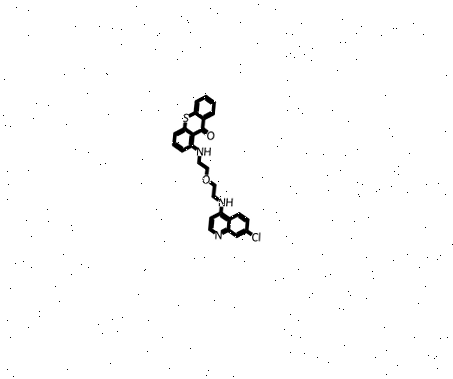 O=c1c2ccccc2sc2cccc(NCCOCCNc3ccnc4cc(Cl)ccc34)c12